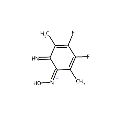 CC1=C(F)C(F)=C(C)/C(=N/O)C1=N